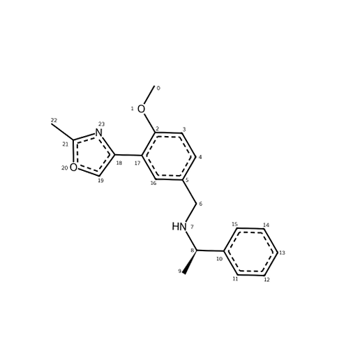 COc1ccc(CN[C@H](C)c2ccccc2)cc1-c1coc(C)n1